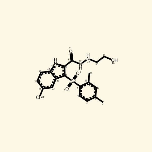 Cc1ccc(S(=O)(=O)c2c(C(=O)NNCCO)[nH]c3ccc(Cl)cc23)c(C)c1